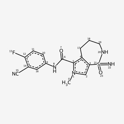 Cn1cc2c(c1C(=O)Nc1ccc(F)c(C#N)c1)CCCNS2(=N)=O